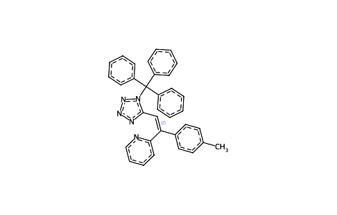 Cc1ccc(/C(=C/c2nnnn2C(c2ccccc2)(c2ccccc2)c2ccccc2)c2ccccn2)cc1